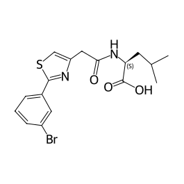 CC(C)C[C@H](NC(=O)Cc1csc(-c2cccc(Br)c2)n1)C(=O)O